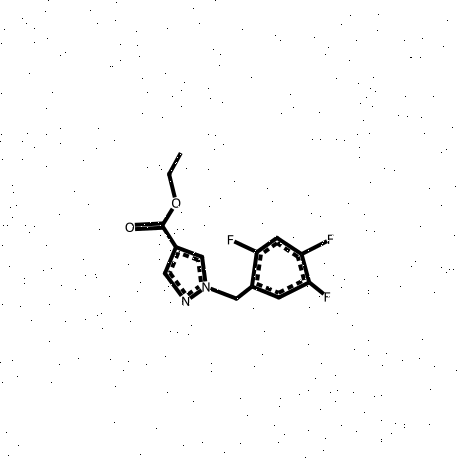 CCOC(=O)c1cnn(Cc2cc(F)c(F)cc2F)c1